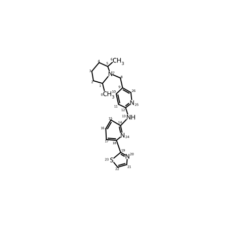 CC1CCCC(C)N1Cc1ccc(Nc2cccc(-c3nccs3)n2)nc1